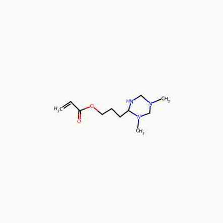 C=CC(=O)OCCCC1NCN(C)CN1C